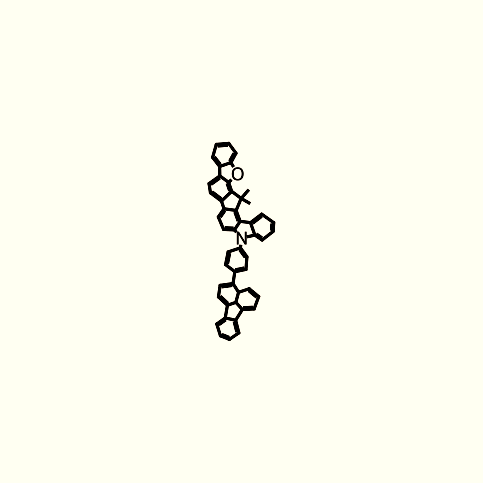 CC1(C)c2c(ccc3c2oc2ccccc23)-c2ccc3c(c21)c1ccccc1n3-c1ccc(C2=CC=C3c4ccccc4C4=CC=CC2C43)cc1